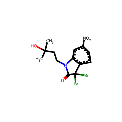 CC(C)(O)CCN1C(=O)C(Br)(Br)c2ccc([N+](=O)[O-])cc21